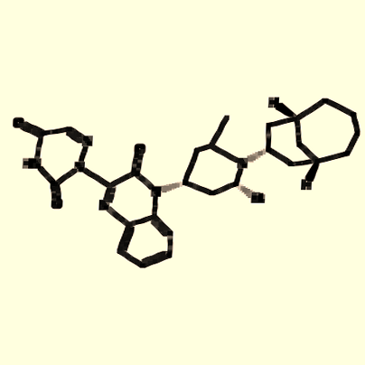 CC[C@@H]1C[C@H](n2c(=O)c(-n3ncc(=O)[nH]c3=O)nc3ccccc32)CC(C)N1[C@@H]1C[C@@H]2CCCC[C@@H](C2)C1